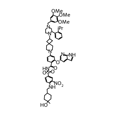 COc1cc(CN2CCN(C3CC4(CCN(c5ccc(C(=O)NS(=O)(=O)c6ccc(NCC7CCC(C)(O)CC7)c([N+](=O)[O-])c6)c(Oc6cnc7[nH]ccc7c6)c5)CC4)C3)C(c3ccccc3C(C)C)C2)cc(OC)c1OC